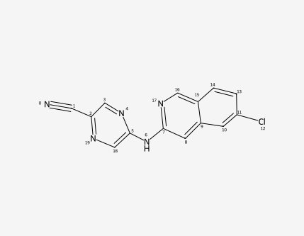 N#Cc1cnc(Nc2cc3cc(Cl)ccc3cn2)cn1